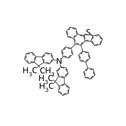 CC1(C)c2ccccc2-c2ccc(N(c3ccc(-c4c(-c5ccc(-c6ccccc6)cc5)c5c6ccccc6sc5c5ccccc45)cc3)c3ccc4c(c3)C(C)(C)c3ccccc3-4)cc21